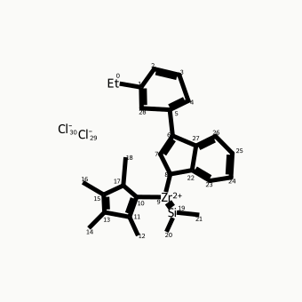 CCc1cccc(C2=C[CH]([Zr+2]([C]3=C(C)C(C)=C(C)C3C)=[Si](C)C)c3ccccc32)c1.[Cl-].[Cl-]